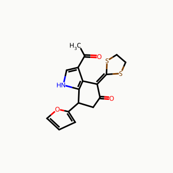 CC(=O)c1c[nH]c2c1C(=C1SCCS1)C(=O)CC2c1ccco1